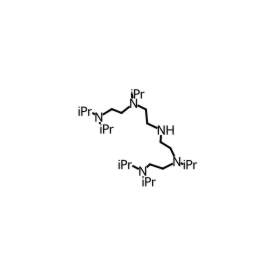 CC(C)N(CCNCCN(CCN(C(C)C)C(C)C)C(C)C)CCN(C(C)C)C(C)C